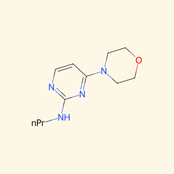 CCCNc1nccc(N2CCOCC2)n1